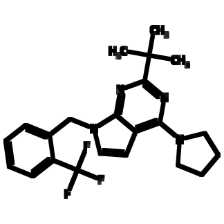 CC(C)(C)c1nc(N2CCCC2)c2ccn(Cc3ccccc3C(F)(F)F)c2n1